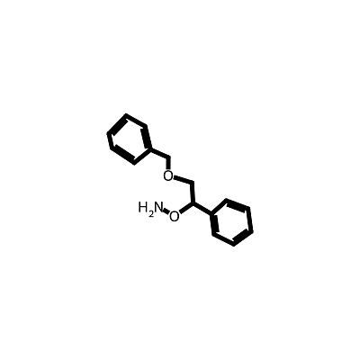 NOC(COCc1ccccc1)c1ccccc1